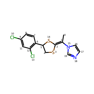 C/C(=C1/SCC(c2ccc(Cl)cc2Cl)S1)n1ccnc1